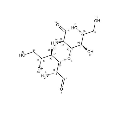 N[C@@H](C=O)[C@@H](O[C@@H]([C@H](O)[C@H](O)CO)[C@@H](N)C=O)[C@H](O)[C@H](O)CO